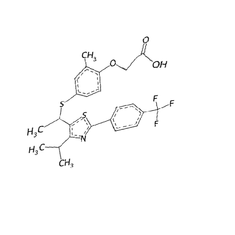 Cc1cc(SC(C)c2sc(-c3ccc(C(F)(F)F)cc3)nc2C(C)C)ccc1OCC(=O)O